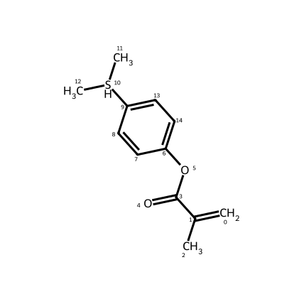 C=C(C)C(=O)Oc1ccc([SH](C)C)cc1